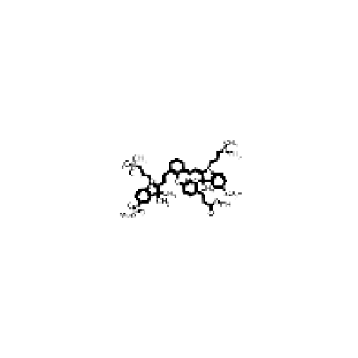 COS(=O)(=O)c1ccc2c(c1)C(C)(C)C(/C=C/C1=C(Oc3ccc(CCC(=O)OO)cc3)C(=C/C=C3/N(CCCN(C)C)c4ccc(S(=O)(=O)O)cc4C3(C)C)/CCC1)=[N+]2CCC[N+](C)(C)C